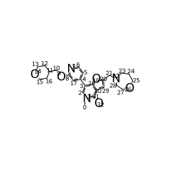 Cn1cc(-c2ccnc(OCC3CCOCC3)c2)c2oc(CN3CCCOCC3)cc2c1=O